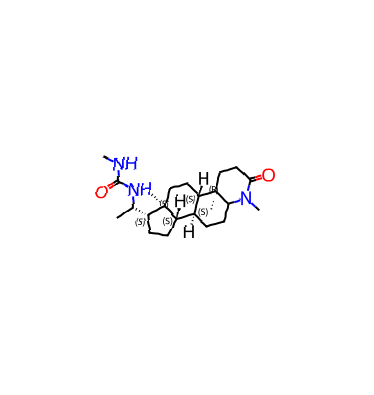 CNC(=O)NC(C)[C@H]1CC[C@H]2[C@@H]3CCC4N(C)C(=O)CC[C@]4(C)[C@H]3CC[C@]12C